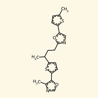 Cc1ccc(-c2cnc(CCC(C)c3ccc(-c4ocnc4C)s3)o2)s1